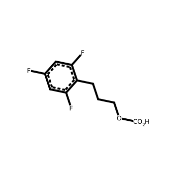 O=C(O)OCCCc1c(F)cc(F)cc1F